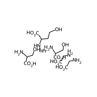 CCCNC(CCO)C(=O)O.NC(CO)C(=O)O.NC(CO)C(=O)O.NCC(=O)O.NCC(=O)O